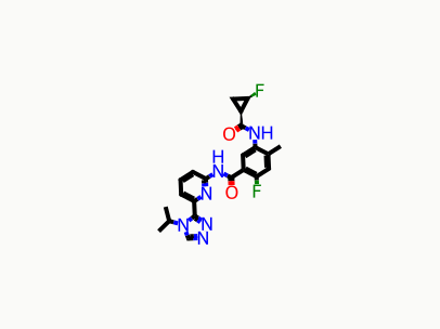 Cc1cc(F)c(C(=O)Nc2cccc(-c3nncn3C(C)C)n2)cc1NC(=O)[C@H]1C[C@H]1F